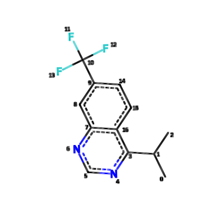 CC(C)c1ncnc2cc(C(F)(F)F)ccc12